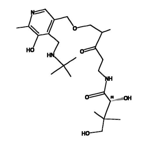 Cc1ncc(COCC(C)C(=O)CCNC(=O)[C@H](O)C(C)(C)CO)c(CNC(C)(C)C)c1O